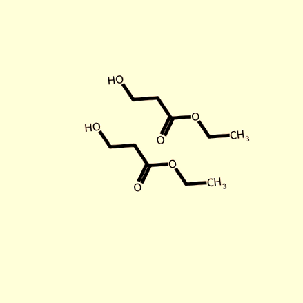 CCOC(=O)CCO.CCOC(=O)CCO